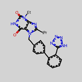 CCn1c(=O)[nH]c(=O)c2c1nc(C(C)C)n2Cc1ccc(-c2ccccc2-c2nnn[nH]2)cc1